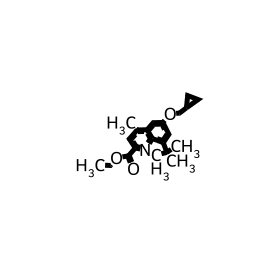 CCOC(=O)c1cc(C)c2cc(OCC3CC3)cc(C(C)(C)C)c2n1